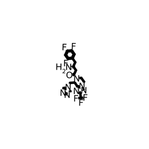 N[C@@H](CC(=O)N1CCn2nc(C(F)(F)F)nc2C1Cn1cnnc1)Cc1cc(F)c(F)cc1F